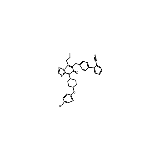 CCCc1c(Cc2ccc(-c3ccccc3C#N)cc2)c(=O)n(C2CCC(Oc3ccc(Br)cc3)CC2)c2ncnn12